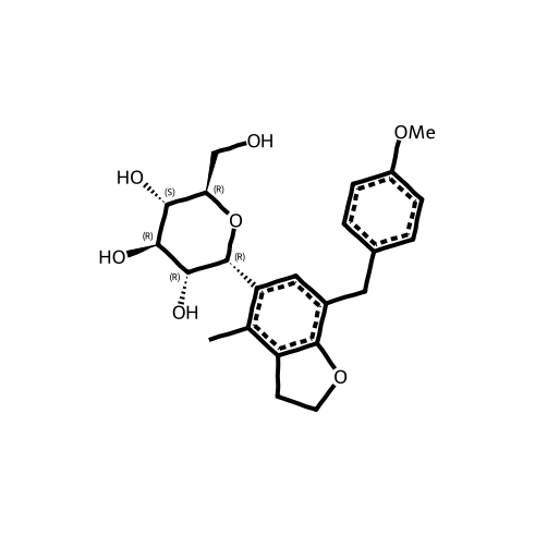 COc1ccc(Cc2cc([C@H]3O[C@H](CO)[C@@H](O)[C@H](O)[C@H]3O)c(C)c3c2OCC3)cc1